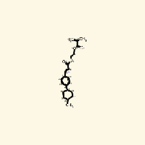 C=C(C)C(=O)OCCOC(=O)/C=C/c1ccc(C2CCC(C)CC2)cc1